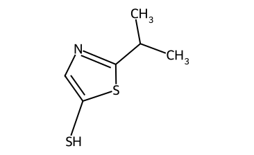 CC(C)c1ncc(S)s1